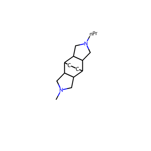 CCCN1CC2C3CCC(C4CN(C)CC34)C2C1